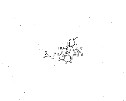 CC(C)C[C@H](NC(=O)O)[C@@]1(Cc2nccc3c2C[C@@H](CCC2CC2)C3)OC(C)(C)OC1=O